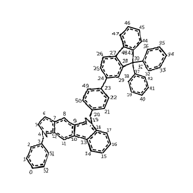 c1ccc(-n2ccc3cc4c(cc32)c2ccccc2n4-c2ccc(-c3ccc4c(c3)C(c3ccccc3)(c3ccccc3)c3ccccc3-4)cc2)cc1